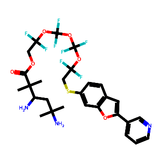 CC(C)(N)CC(N)C(C)(C)C(=O)OCC(F)(F)OC(F)(F)OC(F)(F)OC(F)(F)CSc1ccc2cc(-c3cccnc3)oc2c1